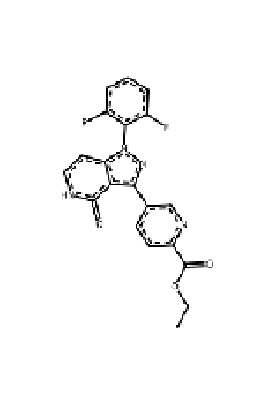 CCOC(=O)c1ccc(-c2nn(-c3c(F)cccc3F)c3cc[nH]c(=O)c23)cn1